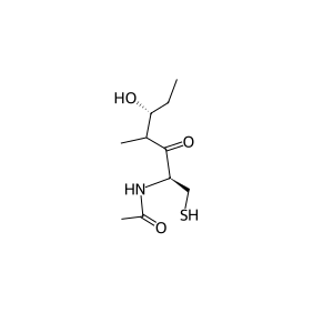 CC[C@@H](O)C(C)C(=O)[C@@H](CS)NC(C)=O